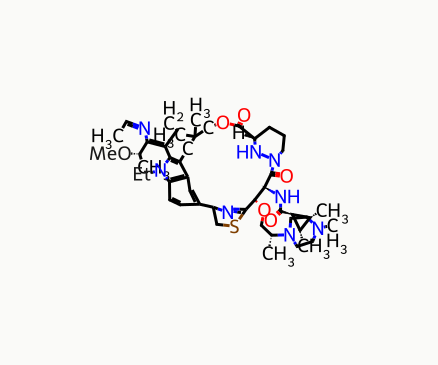 C=C/C(=C(\N=C/C)[C@H](C)OC)c1c2c3cc(ccc3n1CC)C1CSC(=N1)[C@@H](OC[C@@H](C)N1CCN(C)CC1)[C@H](NC(=O)[C@H]1[C@H](C)[C@@H]1C)C(=O)N1CCC[C@H](N1)C(=O)OCC(C)(C)C2